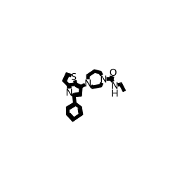 CCNC(=O)N1CCCN(c2cc(-c3ccccc3)nc3ccsc23)CC1